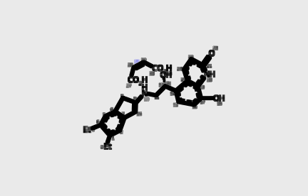 CCc1cc2c(cc1CC)CC(NC[C@H](O)c1ccc(O)c3[nH]c(=O)ccc13)=C2.O=C(O)/C=C\C(=O)O